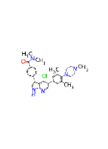 Cc1cc(-c2cnc3[nH]cc(-c4ccc(C(=O)N(C)C)cc4)c3c2Cl)cc(C)c1N1CCN(C)CC1